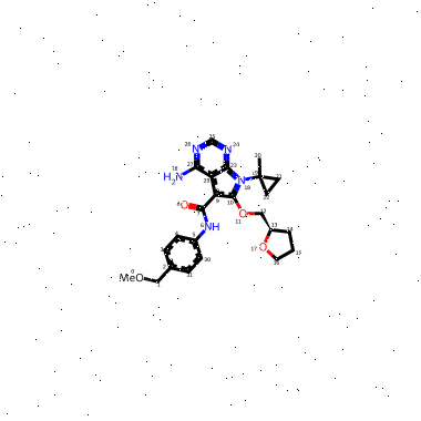 COCc1ccc(NC(=O)c2c(OC[C@H]3CCCO3)n(C3(C)CC3)c3ncnc(N)c23)cc1